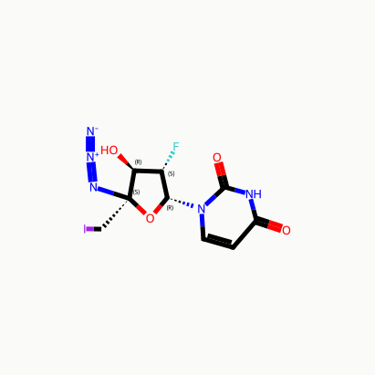 [N-]=[N+]=N[C@]1(CI)O[C@@H](n2ccc(=O)[nH]c2=O)[C@@H](F)[C@@H]1O